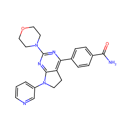 NC(=O)c1ccc(-c2nc(N3CCOCC3)nc3c2CCN3c2cccnc2)cc1